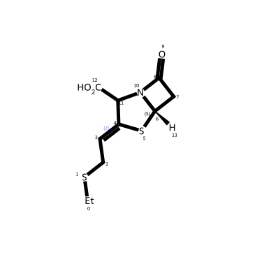 CCSC/C=C1\S[C@H]2CC(=O)N2C1C(=O)O